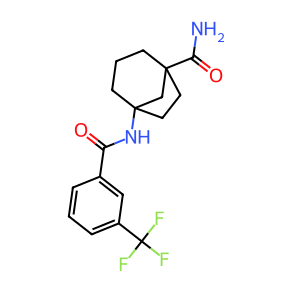 NC(=O)C12CCCC(NC(=O)c3cccc(C(F)(F)F)c3)(CC1)C2